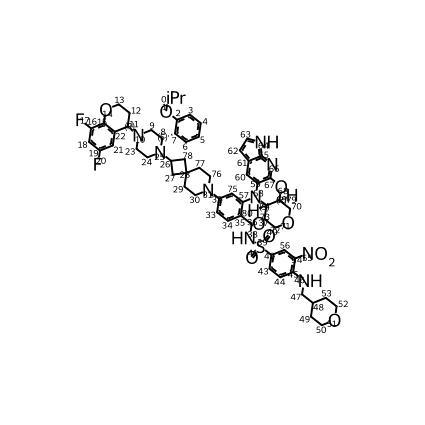 CC(C)Oc1ccccc1[C@H]1CN([C@@H]2CCOc3c(F)cc(F)cc32)CCN1C1CC2(CCN(c3ccc(C(=O)NS(=O)(=O)c4ccc(NCC5CCOCC5)c([N+](=O)[O-])c4)c(N4c5cc6cc[nH]c6nc5O[C@H]5COCC[C@@H]54)c3)CC2)C1